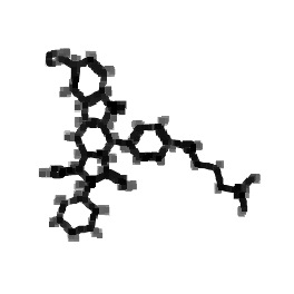 CN(C)CCCOc1ccc(C2c3[nH]c4ccc(Cl)cc4c3CC3C(=O)N(C4CCCCC4)C(=S)N32)cc1